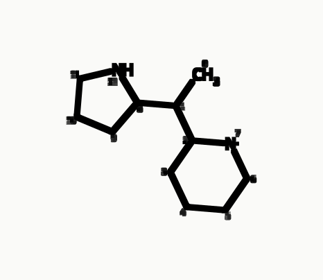 CC(C1CCCC[N]1)C1CCCN1